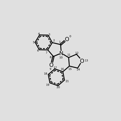 O=C1c2ccccc2C(=O)N1C1COCC1c1ccccc1